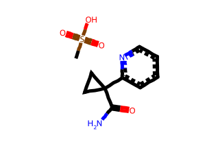 CS(=O)(=O)O.NC(=O)C1(c2ccccn2)CC1